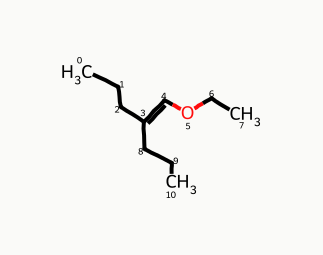 CCCC(=COCC)CCC